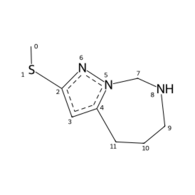 CSc1cc2n(n1)CNCCC2